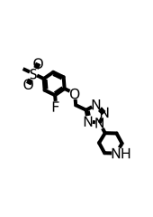 CS(=O)(=O)c1ccc(OCc2nnn(C3CCNCC3)n2)c(F)c1